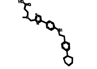 CN(CCC(=O)O)Cc1nc(-c2ccc(NCCc3ccc(C4CCCCC4)cc3)cc2)cs1